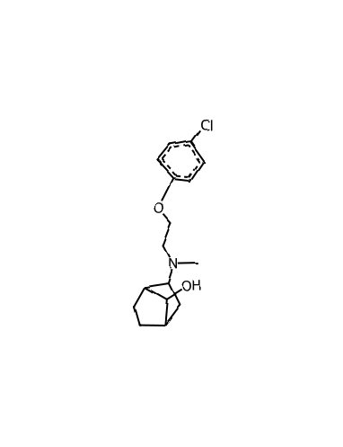 CN(CCOc1ccc(Cl)cc1)C1CC2CCC1C2O